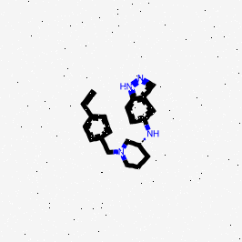 C=Cc1ccc(CN2CCC[C@@H](Nc3ccc4[nH]ncc4c3)C2)cc1